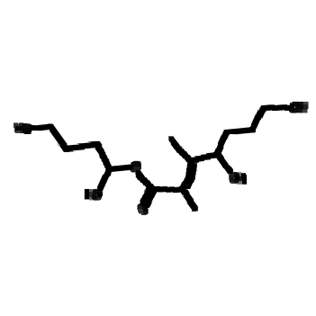 CC(C(=O)OC(O)CCCO)=C(C)C(O)CCCO